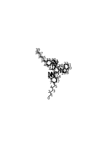 CCCCCCC1=CC2C=NN(c3c(C)c(-n4ccc5ccccc54)c(C)c(-n4ncc5cc(CCCCCC)ccc54)c3C)C2C=C1